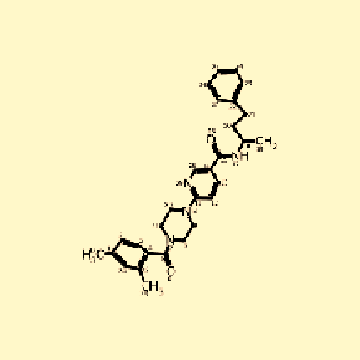 Cc1ccc(C(=O)N2CCN(c3ccc(C(=O)NC(C)CCc4ccccc4)cn3)CC2)c(C)c1